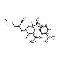 COCCC(C#N)CN1CC(C)(C(=O)O)C(c2cccc([N+](=O)[O-])c2)C(C(=O)O)=C1C